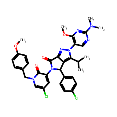 COc1ccc(Cn2cc(Cl)cc(N3C(=O)c4nn(-c5cnc(N(C)C)nc5OC)c(C(C)C)c4C3c3ccc(Cl)cc3)c2=O)cc1